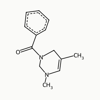 CC1=CN(C)CN(C(=O)c2ccccc2)C1